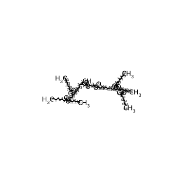 CCCCCCCC(=O)OC(CCCCC)CCC(CCCCCCC(CC)CC(=O)OCCCOC(=O)CCCCCCCC(CCC(CCCCCC)OC(=O)CCCCCCC)OC(=O)CCCCCCC)OC(=O)CCCCCCC